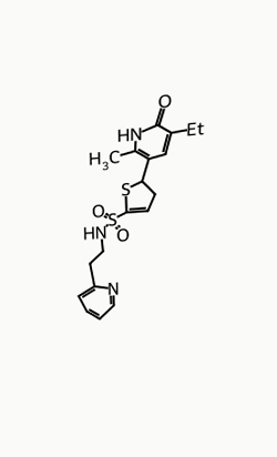 CCc1cc(C2CC=C(S(=O)(=O)NCCc3ccccn3)S2)c(C)[nH]c1=O